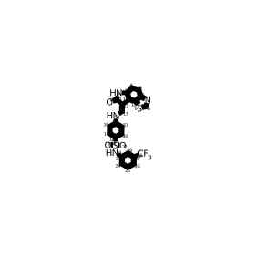 O=C1Nc2ccc3ncsc3c2/C1=C/Nc1ccc(S(=O)(=O)Nc2cccc(C(F)(F)F)c2)cc1